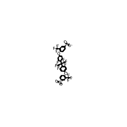 O=[N+]([O-])c1ccc(Oc2ccc(C(c3ccc(Oc4ccc([N+](=O)[O-])cc4C(F)(F)F)cc3)(C(F)(F)F)C(F)(F)F)cc2)c(C(F)(F)F)c1